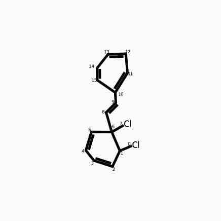 ClC1C=CC=CC1(Cl)C=Cc1ccccc1